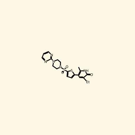 CCc1cc(-c2ccc(S(=O)(=O)N3CCN(c4ncccn4)CC3)s2)c(C)[nH]c1=O